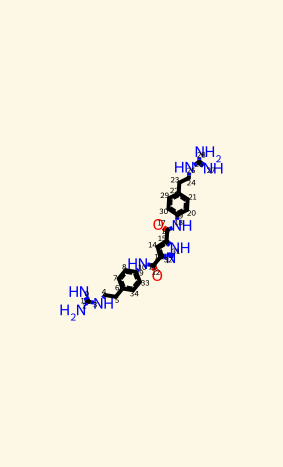 N=C(N)NCCc1ccc(NC(=O)c2cc(C(=O)Nc3ccc(CCNC(=N)N)cc3)[nH]n2)cc1